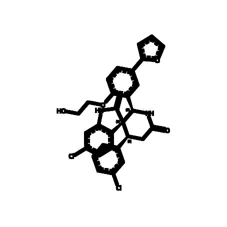 O=C1C[C@@H](c2cccc(Cl)c2)[C@]2(C(=O)Nc3cc(Cl)ccc32)[C@@H](c2cc(-c3ccco3)ccc2OCCO)N1